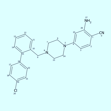 N#Cc1ccc(N2CCN(Cc3ccccc3-c3ccc(Cl)cc3)CC2)cc1N